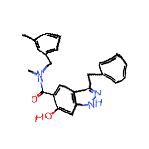 Cc1cccc(CN(C)C(=O)c2cc3c(Cc4ccccc4)n[nH]c3cc2O)c1